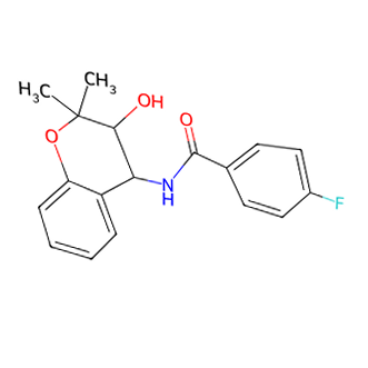 CC1(C)Oc2ccccc2C(NC(=O)c2ccc(F)cc2)C1O